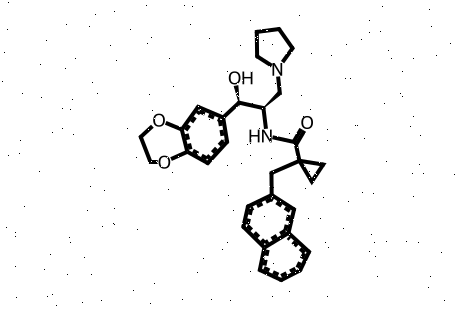 O=C(N[C@H](CN1CCCC1)[C@H](O)c1ccc2c(c1)OCCO2)C1(Cc2ccc3ccccc3c2)CC1